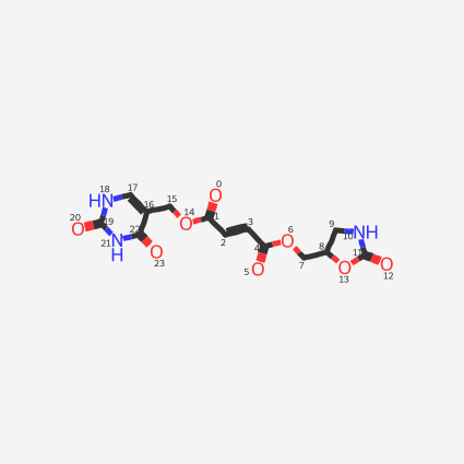 O=C(/C=C/C(=O)OCC1CNC(=O)O1)OCc1c[nH]c(=O)[nH]c1=O